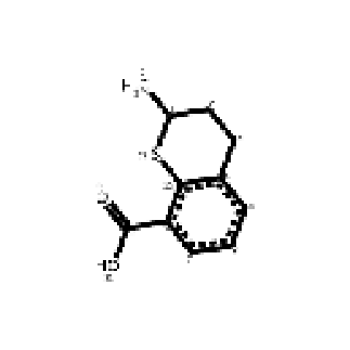 CC1CCc2cccc(C(=O)O)c2S1